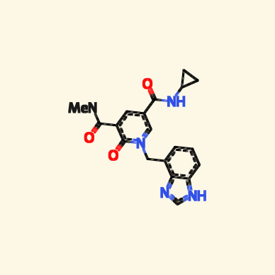 CNC(=O)c1cc(C(=O)NC2CC2)cn(Cc2cccc3[nH]cnc23)c1=O